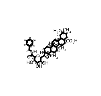 CC1(C)CC[C@]2(C(=O)O)CC[C@]3(C)C(=CCC4[C@@]5(C)CC[C@@H]6[C@H]([C@@H]7OC(C(=O)NCc8ccccc8)[C@@H](O)C(O)C7O)O[C@@]6(C)C5CC[C@]43C)C2C1